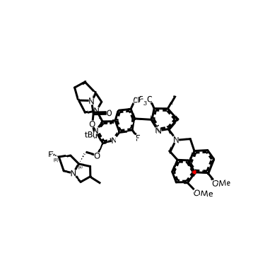 COc1ccc(CN(Cc2ccc(OC)cc2)c2cc(C)c(C(F)(F)F)c(-c3c(Cl)cc4c(N5CC6CCC(C5)N6C(=O)OC(C)(C)C)nc(OC[C@]56CC(C)CN5C[C@H](F)C6)nc4c3F)n2)cc1